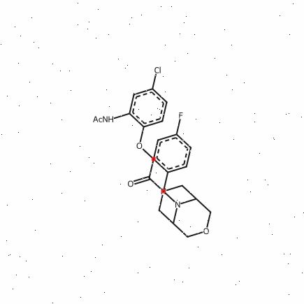 CC(=O)Nc1cc(Cl)ccc1OCC(=O)N1CC2COCC(C1)N2Cc1ccc(F)cc1